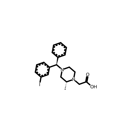 C[C@@H]1CN([C@H](c2ccccc2)c2cccc(I)c2)CCN1CC(=O)O